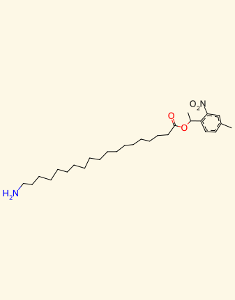 Cc1ccc(C(C)OC(=O)CCCCCCCCCCCCCCCCCCN)c([N+](=O)[O-])c1